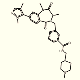 Cc1cnn(C)c1-c1ccc2c(c1)N(C)C(=O)[C@@H](C)N(Cc1cccc(C(=O)NCC3CCN(C)CC3)c1)C2=O